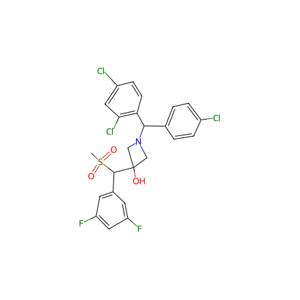 CS(=O)(=O)C(c1cc(F)cc(F)c1)C1(O)CN(C(c2ccc(Cl)cc2)c2ccc(Cl)cc2Cl)C1